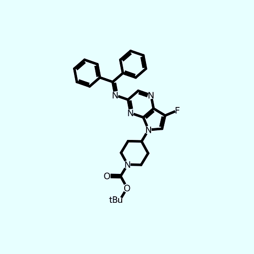 CC(C)(C)OC(=O)N1CCC(n2cc(F)c3ncc(N=C(c4ccccc4)c4ccccc4)nc32)CC1